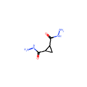 NNC(=O)C1CC1C(=O)NN